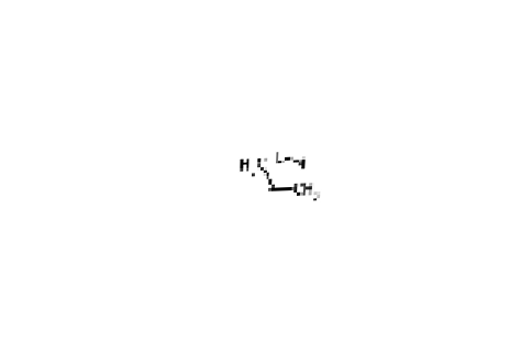 C[CH]C.[Li][I]